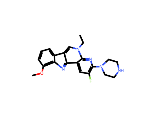 CCn1cc2c3cccc(OC)c3nc-2c2cc(F)c(N3CCNCC3)nc21